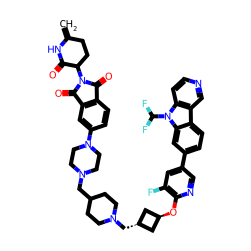 C=C1CCC(N2C(=O)c3ccc(N4CCN(CC5CCN(C[C@H]6C[C@H](Oc7ncc(-c8ccc9c%10cnccc%10n(C(F)F)c9c8)cc7F)C6)CC5)CC4)cc3C2=O)C(=O)N1